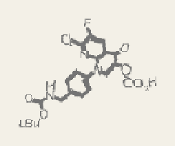 CC(C)(C)OC(=O)NCc1ccc(-n2cc(OC(=O)O)c(=O)c3cc(F)c(Cl)nc32)cc1